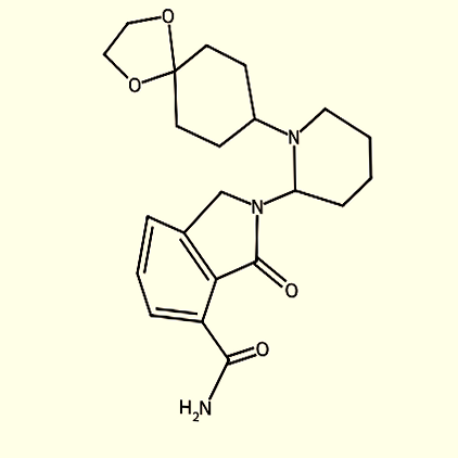 NC(=O)c1cccc2c1C(=O)N(C1CCCCN1C1CCC3(CC1)OCCO3)C2